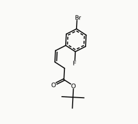 CC(C)(C)OC(=O)C/C=C\c1cc(Br)ccc1F